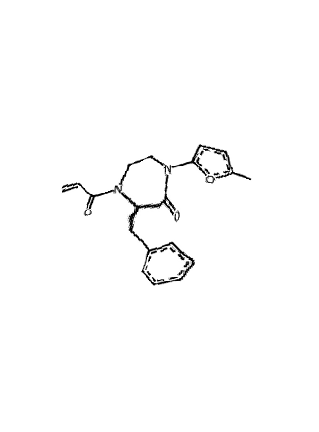 C=CC(=O)N1CCN(c2ccc(C)o2)C(=O)C1Cc1ccccc1